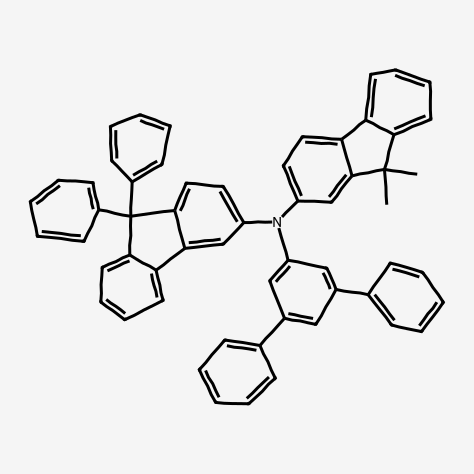 CC1(C)c2ccccc2-c2ccc(N(c3cc(-c4ccccc4)cc(-c4ccccc4)c3)c3ccc4c(c3)-c3ccccc3C4(c3ccccc3)c3ccccc3)cc21